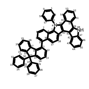 c1ccc(-n2c3c4cccc(-c5cccc6c5-c5ccccc5C6(c5ccccc5)c5ccccc5)c4ccc3c3c4c5ccccc5[nH]c4c4ccccc4c32)cc1